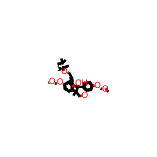 COCOc1ccc(C2(C)COc3cc(OCOC)ccc3C2(O)CC#CCO[Si](C)(C)C(C)(C)C)cc1